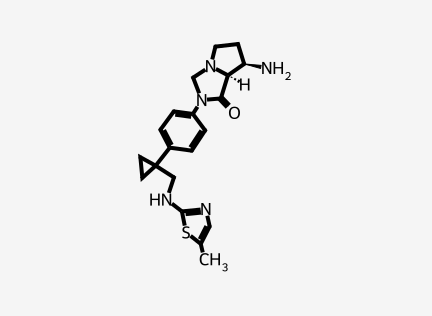 Cc1cnc(NCC2(c3ccc(N4CN5CC[C@@H](N)[C@H]5C4=O)cc3)CC2)s1